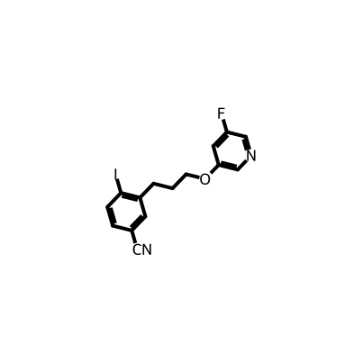 N#Cc1ccc(I)c(CCCOc2cncc(F)c2)c1